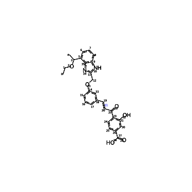 CCOC(C)c1cccc2[nH]c(COc3cccc(/C=C/C(=O)c4ccc(C(=O)O)cc4O)c3)nc12